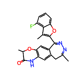 CC1=NN=C(c2oc3cccc(F)c3c2C)c2cc3c(cc2C1)NC(=O)C(C)O3